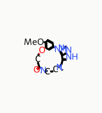 COc1ccc2cc1OCCCC(=O)N(C)CCCN(C)Cc1c[nH]c3ncnc(c13)N2